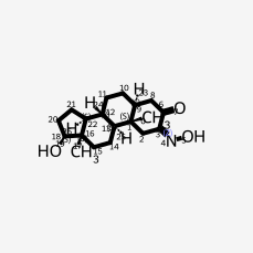 C[C@]12C/C(=N/O)C(=O)C[C@@H]1CC[C@@H]1[C@@H]2CC[C@]2(C)[C@@H](O)CC[C@@H]12